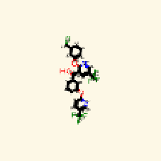 OC(c1cccc(Oc2ccc(C(F)(F)F)cn2)c1)c1cc(C(F)(F)F)cnc1Oc1cccc(CCl)c1